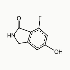 O=C1NCc2cc(O)cc(F)c21